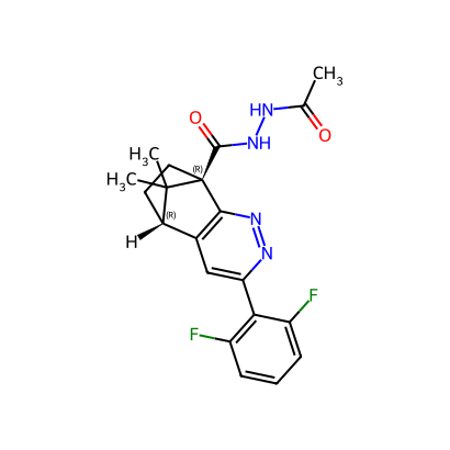 CC(=O)NNC(=O)[C@@]12CC[C@@H](c3cc(-c4c(F)cccc4F)nnc31)C2(C)C